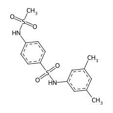 Cc1cc(C)cc(NS(=O)(=O)c2ccc(NS(C)(=O)=O)cc2)c1